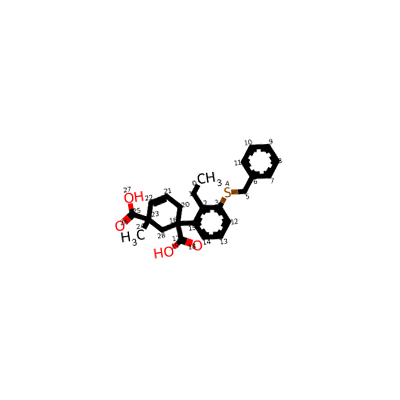 CCc1c(SCc2ccccc2)cccc1C1(C(=O)O)CC=CC(C)(C(=O)O)C1